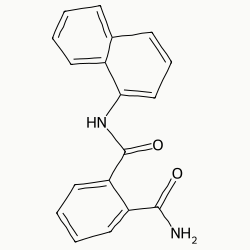 NC(=O)c1ccccc1C(=O)Nc1cccc2ccccc12